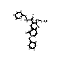 O=C(O)Nc1nc2ccn(Cc3ccccc3)c(=O)c2cc1C(=O)NCc1ccccn1